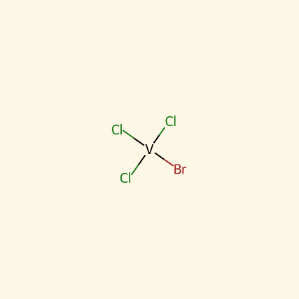 [Cl][V]([Cl])([Cl])[Br]